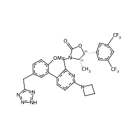 COc1ccc(Cc2nn[nH]n2)cc1-c1ccc(N2CCC2)nc1CN1C(=O)O[C@H](c2cc(C(F)(F)F)cc(C(F)(F)F)c2)[C@@H]1C